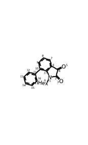 CCCCCCN1C(=O)C(=O)c2cccc(-c3ccccc3)c21